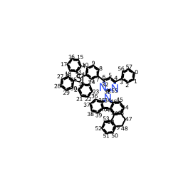 c1ccc(-c2cc(-c3cccc([Si](c4ccccc4)(c4ccccc4)c4ccccc4)c3)nc(-n3c4ccccc4c4c5c(ccc43)CCc3ccccc3-5)n2)cc1